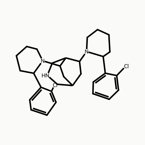 Clc1ccccc1C1CCCCN1C1CC2CNCC1C(N1CCCCC1c1ccccc1Cl)C2